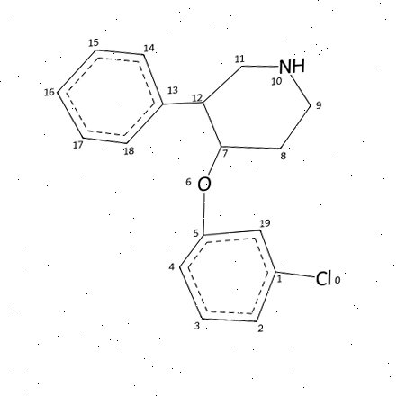 Clc1cccc(OC2CCNCC2c2ccccc2)c1